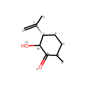 C=C(C)[C@@H]1CCC(C)C(=O)C1O